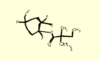 CCC(C)(C)C(=O)OC1(F)CCC(F)(F)CC1(F)F